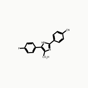 N#Cc1ccc(-c2nc(C(=O)O)c(-c3ccc(F)cc3)[nH]2)cc1